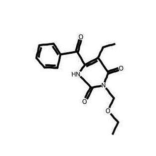 CCOCn1c(=O)[nH]c(C(=O)c2ccccc2)c(CC)c1=O